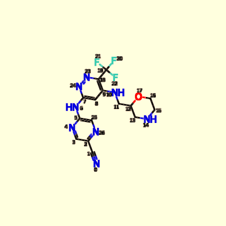 N#Cc1cnc(Nc2cc(NCC3CNCCO3)c(C(F)(F)F)nn2)cn1